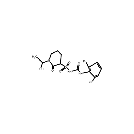 CC(C)c1cccc(C(C)C)c1NC(=O)NS(=O)(=O)C1CCCN(C(C)O)C1=O